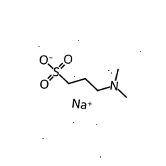 CN(C)CCCS(=O)(=O)[O-].[Na+]